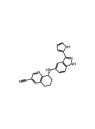 N#Cc1cnc2c(c1)CCC[C@@H]2Nc1ccc2[nH]nc(-c3ccc[nH]3)c2c1